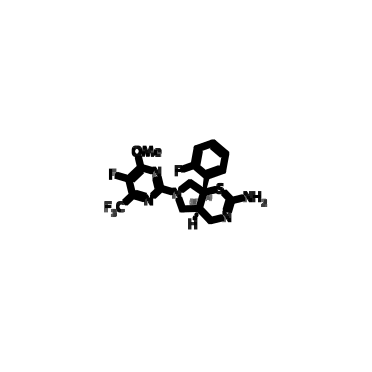 COc1nc(N2C[C@@H]3CN=C(N)S[C@@]3(c3ccccc3F)C2)nc(C(F)(F)F)c1F